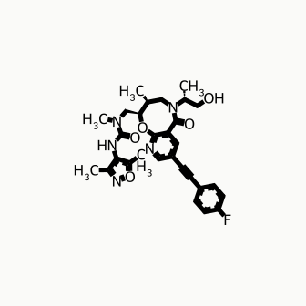 Cc1noc(C)c1NC(=O)N(C)C[C@@H]1Oc2ncc(C#Cc3ccc(F)cc3)cc2C(=O)N([C@H](C)CO)C[C@@H]1C